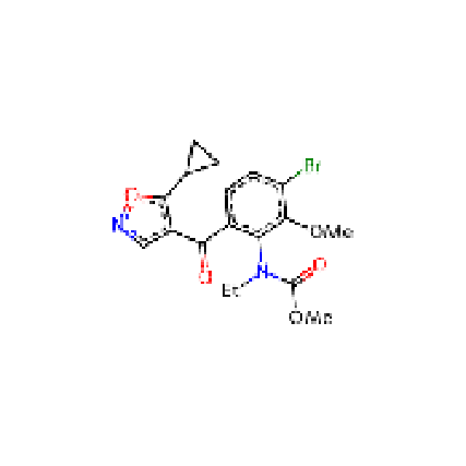 CCN(C(=O)OC)c1c(C(=O)c2cnoc2C2CC2)ccc(Br)c1OC